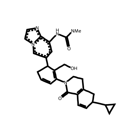 CNC(=O)Nc1cc(C2CC=CC(N3CCC4=C(C=CC(C5CC5)C4)C3=O)=C2CO)cn2ccnc12